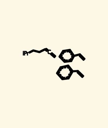 C=C=CCCC(C)C.C=Cc1ccccc1.C=Cc1ccccc1